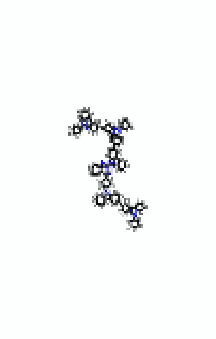 c1ccc(-n2c3ccccc3c3cc(-c4ccc5c(c4)c4ccccc4n5-c4ccc(-c5nc(-n6c7ccccc7c7cc(-c8ccc9c(c8)c8cc(-c%10ccc%11c(c%10)c%10ccccc%10n%11-c%10ccccc%10)ccc8n9-c8ccccc8)ccc76)nc6ccccc56)cc4)ccc32)cc1